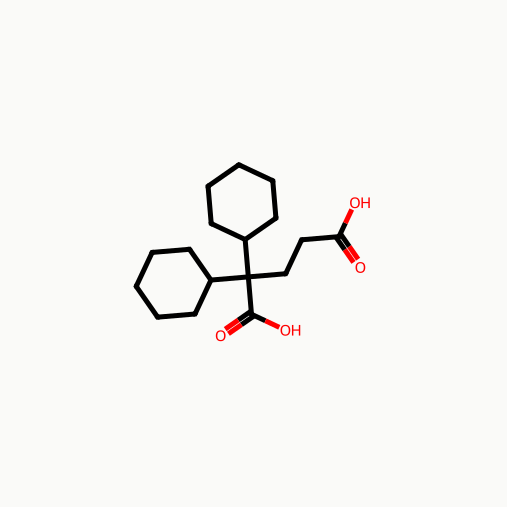 O=C(O)CCC(C(=O)O)(C1CCCCC1)C1CCCCC1